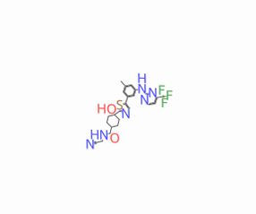 Cc1cc(Nc2nccc(C(F)(F)F)n2)cc(-c2cnc(C3(O)CCC(C(=O)NCC#N)CC3)s2)c1